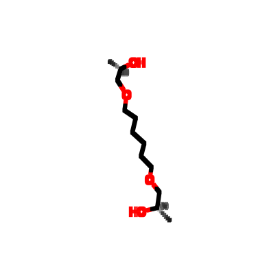 C[C@H](O)COCCCCCCOC[C@H](C)O